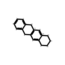 c1ccc2c(c1)Cc1cc3c(cc1C2)CCCC3